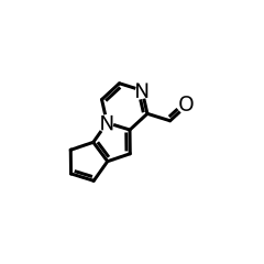 O=Cc1nccn2c3c(cc12)C=CC3